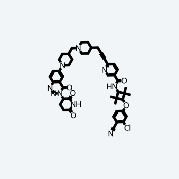 CC1(C)C(NC(=O)c2ccc(C#CCC3CCN(CC4CCN(c5ccc6nnn(C7CCC(=O)NC7=O)c(=O)c6c5)CC4)CC3)nc2)C(C)(C)C1Oc1ccc(C#N)c(Cl)c1